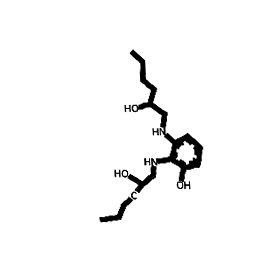 CCCCC(O)CNc1cccc(O)c1NCC(O)CCCC